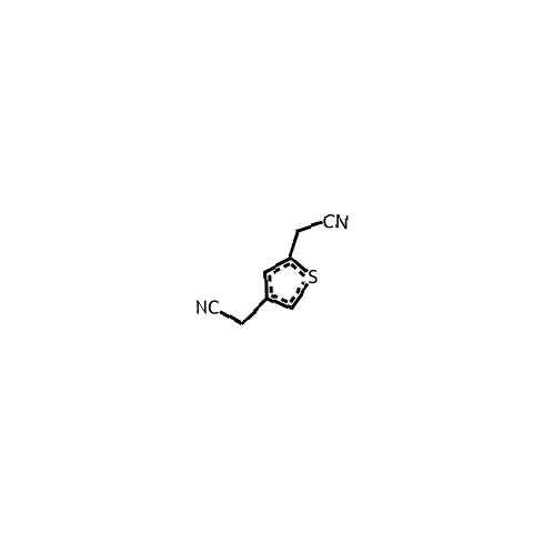 N#CCc1csc(CC#N)c1